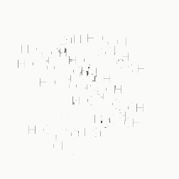 C=C(C)C(=O)OCCC[Si](O[Si](C)(C)C(CO[SiH3])O[Si](C)(C)C)(O[Si](C)(C)C(CO[SiH3])O[Si](C)(C)C)O[Si](C)(C)C(CO[SiH3])O[Si](C)(C)C